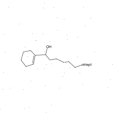 CCCCCCCCCCCCC(O)C1=CCCCC1